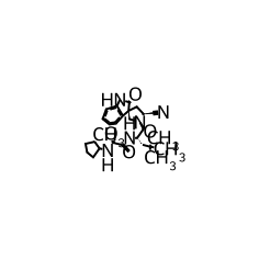 CC1CCCC1NC(=O)C(=O)N[C@@H](CC(C)(C)C)C(=O)N1C[C@]2(C[C@H]1C#N)C(=O)Nc1ccccc12